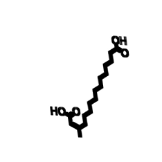 CC(=CC(=O)O)CCCCCCCCCCCCC(=O)O